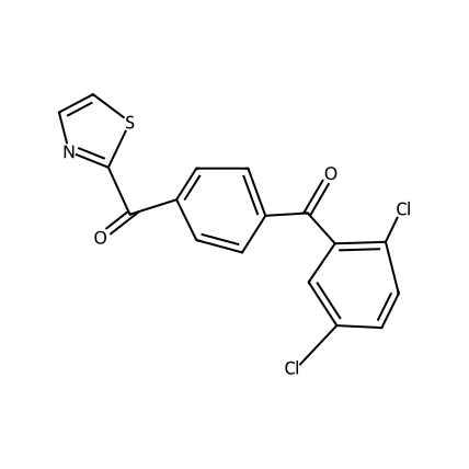 O=C(c1ccc(C(=O)c2cc(Cl)ccc2Cl)cc1)c1nccs1